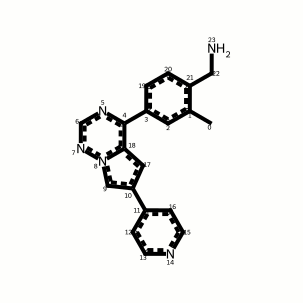 Cc1cc(-c2ncnn3cc(-c4ccncc4)cc23)ccc1CN